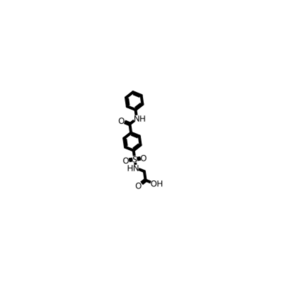 O=C(O)CNS(=O)(=O)c1ccc(C(=O)Nc2ccccc2)cc1